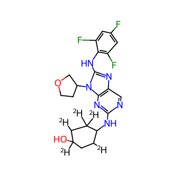 [2H]C1CC([2H])(O)C([2H])C([2H])([2H])C1Nc1ncc2nc(Nc3c(F)cc(F)cc3F)n(C3CCOC3)c2n1